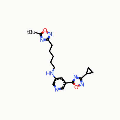 CC(C)(C)c1nc(CCCCCNc2cncc(-c3nc(C4CC4)no3)c2)no1